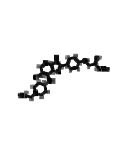 CNC(=O)COc1ccc(-c2nc3c(NC4CCN(CC(C)(C)C)CC4)c(Cl)cnc3[nH]2)cc1